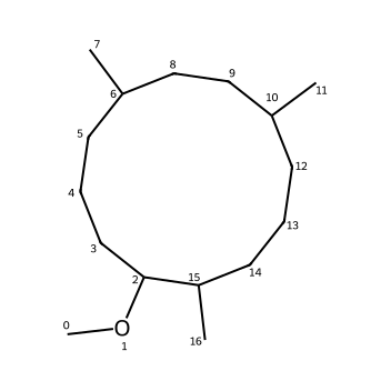 COC1CCCC(C)CCC(C)CCCC1C